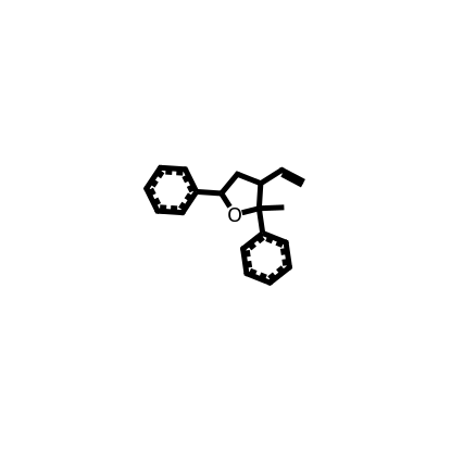 C=CC1CC(c2ccccc2)OC1(C)c1ccccc1